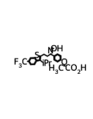 CC(Oc1ccc(C(CCc2sc3cc(C(F)(F)F)ccc3c2C(C)C)=NO)cc1)C(=O)O